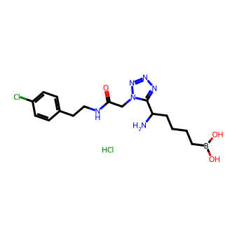 Cl.NC(CCCCB(O)O)c1nnnn1CC(=O)NCCc1ccc(Cl)cc1